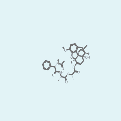 COc1ccc2c3c1O[C@H]1C(OC(=O)[C@H](C)OC(=O)[C@H](C)NC(=O)[C@@H](NC(C)=O)c4ccccc4)=CC[C@@]4(O)[C@@H](C2)C(C)CC[C@]314